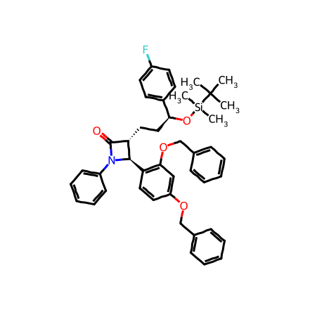 CC(C)(C)[Si](C)(C)O[C@@H](CC[C@H]1C(=O)N(c2ccccc2)[C@@H]1c1ccc(OCc2ccccc2)cc1OCc1ccccc1)c1ccc(F)cc1